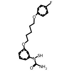 NC(=O)N(S)c1cccc(OCCCCCOc2ccc(F)cc2)c1